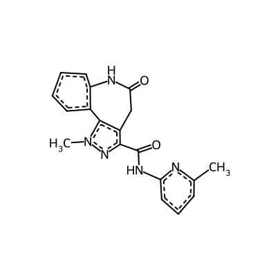 Cc1cccc(NC(=O)c2nn(C)c3c2CC(=O)Nc2ccccc2-3)n1